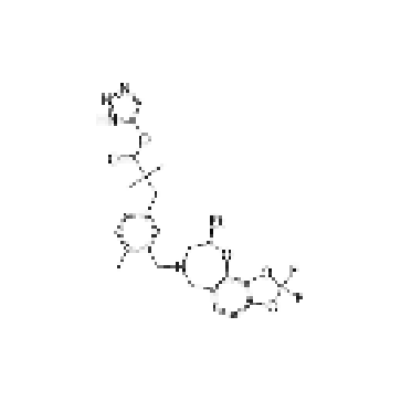 CC[C@@H]1CN(Cc2cc(CC(C)(C)C(=O)Oc3cnn[nH]3)ccc2C)Cc2ccc3c(c2O1)OC(F)(F)O3